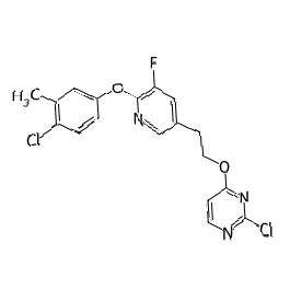 Cc1cc(Oc2ncc(CCOc3ccnc(Cl)n3)cc2F)ccc1Cl